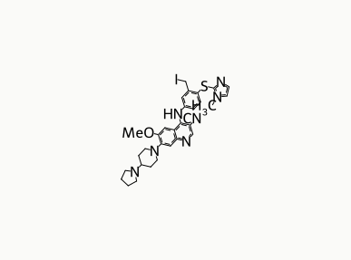 COc1cc2c(Nc3ccc(Sc4nccn4C)c(CI)c3)c(C#N)cnc2cc1N1CCC(N2CCCC2)CC1